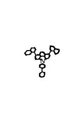 c1ccc(-c2ccc(-n3c4ccc(-c5cccc6ccccc56)c5ccc6c(-c7cccc8ccccc78)ccc3c6c54)cc2)cc1